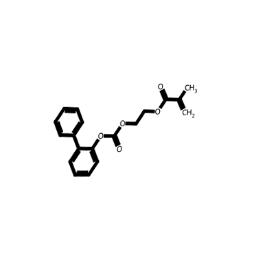 C=C(C)C(=O)OCCOC(=O)Oc1ccccc1-c1ccccc1